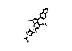 Cc1nn(C(F)F)cc1Nc1nc(N)c2c(-c3ccc4occc4c3)cn(C(C)C)c2n1